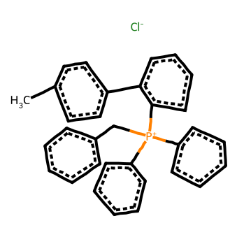 Cc1ccc(-c2ccccc2[P+](Cc2ccccc2)(c2ccccc2)c2ccccc2)cc1.[Cl-]